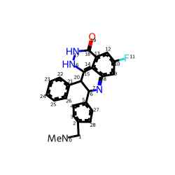 CNCc1ccc(C2N=c3cc(F)cc4c3=C(NNC4=O)C2c2ccccc2)cc1